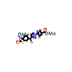 COCn1c(=O)sc2cc(C(C)c3ccn(-c4ccc(C(=O)OC)cn4)n3)ccc21